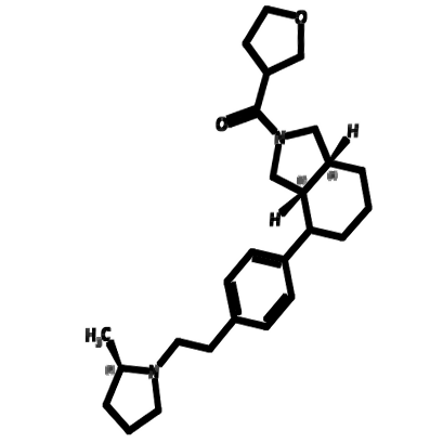 C[C@@H]1CCCN1CCc1ccc(C2CCC[C@H]3CN(C(=O)C4CCOC4)C[C@@H]23)cc1